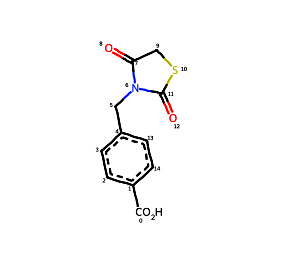 O=C(O)c1ccc(CN2C(=O)CSC2=O)cc1